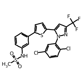 CS(=O)(=O)Nc1cccc(-c2ccc(-c3cc(C(F)(F)F)nn3-c3cc(Cl)ccc3Cl)s2)c1